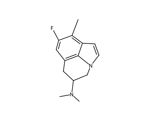 Cc1c(F)cc2c3c1ccn3CC(N(C)C)C2